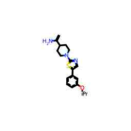 C=C(N)C1CCN(c2ncc(-c3cccc(OC(C)C)c3)s2)CC1